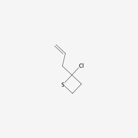 C=CCC1(Cl)CCS1